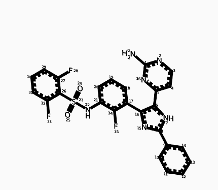 Nc1nccc(-c2[nH]c(-c3ccccc3)nc2-c2cccc(NS(=O)(=O)c3c(F)cccc3F)c2F)n1